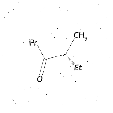 CC[C@@H](C)C(=O)C(C)C